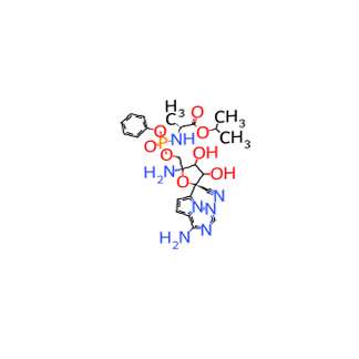 CC(C)OC(=O)[C@@H](C)NP(=O)(OC[C@@]1(N)O[C@@](C#N)(c2ccc3c(N)ncnn23)[C@H](O)[C@@H]1O)Oc1ccccc1